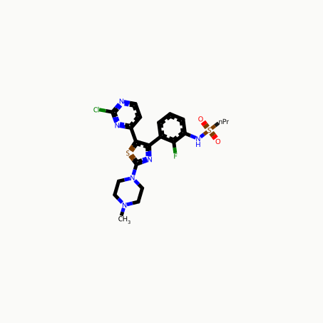 CCCS(=O)(=O)Nc1cccc(-c2nc(N3CCN(C)CC3)sc2-c2ccnc(Cl)n2)c1F